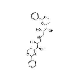 O[C@H]([C@@H](O)CNC[C@H](O)[C@@H](O)C1CCOC(c2ccccc2)O1)[C@H]1CCOC(c2ccccc2)O1